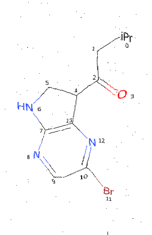 CC(C)CC(=O)C1CNc2ncc(Br)nc21